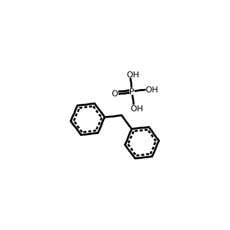 O=P(O)(O)O.c1ccc(Cc2ccccc2)cc1